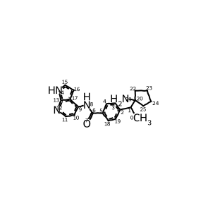 CC(c1ccc(C(=O)Nc2ccnc3[nH]ccc23)cc1)C1(N)CCCC1